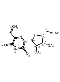 C=Cc1cn([C@@H]2O[C@H](COC(C)=O)[C@H](OC(C)=O)[C@H]2OC(C)=O)c(=O)[nH]c1=O